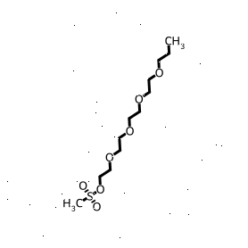 CCCOCCOCCOCCOCCOS(C)(=O)=O